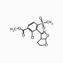 COC(=O)c1ccc(S(C)(=O)=O)c(C2=NOC3OCCC23)c1Cl